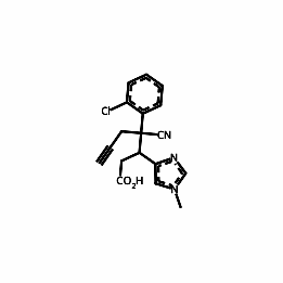 C#CCC(C#N)(c1ccccc1Cl)C(CC(=O)O)c1cn(C)cn1